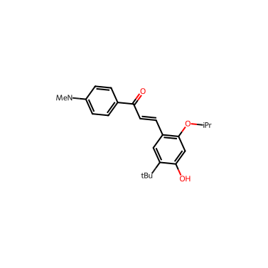 CNc1ccc(C(=O)/C=C/c2cc(C(C)(C)C)c(O)cc2OC(C)C)cc1